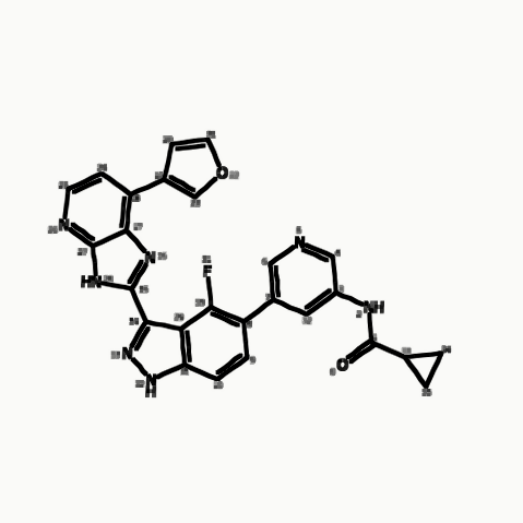 O=C(Nc1cncc(-c2ccc3[nH]nc(-c4nc5c(-c6ccoc6)ccnc5[nH]4)c3c2F)c1)C1CC1